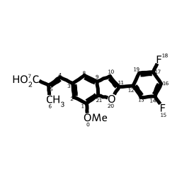 COc1cc(/C=C(\C)C(=O)O)cc2cc(-c3cc(F)cc(F)c3)oc12